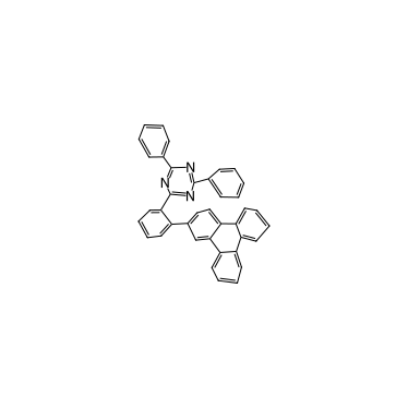 c1ccc(-c2nc(-c3ccccc3)nc(-c3ccccc3-c3ccc4c5ccccc5c5ccccc5c4c3)n2)cc1